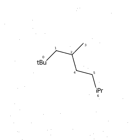 [CH2]C(C)(C)CC(C)CCC(C)C